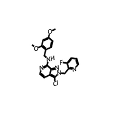 COc1ccc(CNc2nccc3c(Cl)n(Cc4ncccc4F)nc23)c(OC)c1